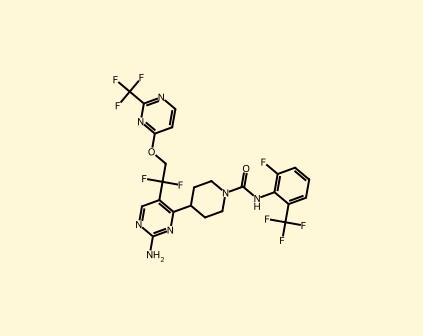 Nc1ncc(C(F)(F)COc2ccnc(C(F)(F)F)n2)c(C2CCN(C(=O)Nc3c(F)cccc3C(F)(F)F)CC2)n1